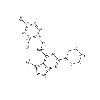 Cn1ccc2nc(N3CCNCC3)nc(NCc3ccc(Cl)cc3Cl)c21